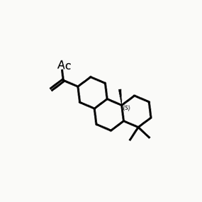 C=C(C(C)=O)C1CCC2C(CCC3C(C)(C)CCC[C@@]23C)C1